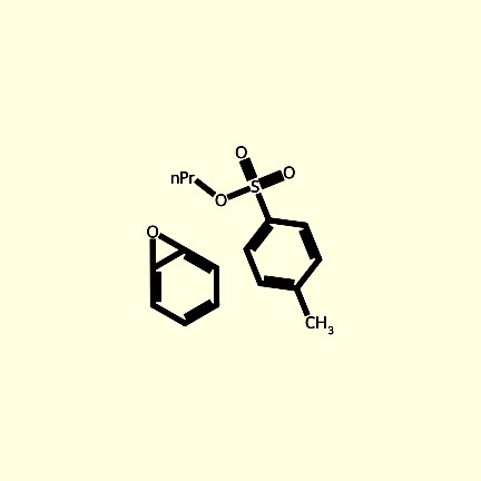 CCCOS(=O)(=O)c1ccc(C)cc1.c1ccc2c(c1)O2